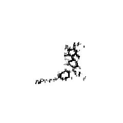 CCCCC[C@H]1CC[C@H](C(C)c2ccc(-c3c(F)cc(C)c(F)c3F)cc2)CC1